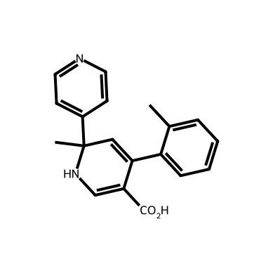 Cc1ccccc1C1=CC(C)(c2ccncc2)NC=C1C(=O)O